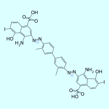 Cc1cc(-c2ccc(/N=N/c3cc(S(=O)(=O)O)c4ccc(I)c(O)c4c3N)c(C)c2)ccc1/N=N/c1cc(S(=O)(=O)O)c2ccc(I)c(O)c2c1N